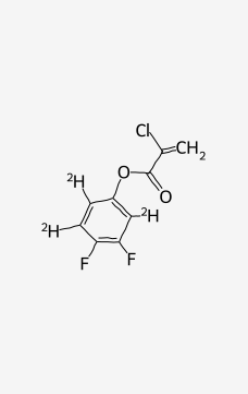 [2H]c1c([2H])c(OC(=O)C(=C)Cl)c([2H])c(F)c1F